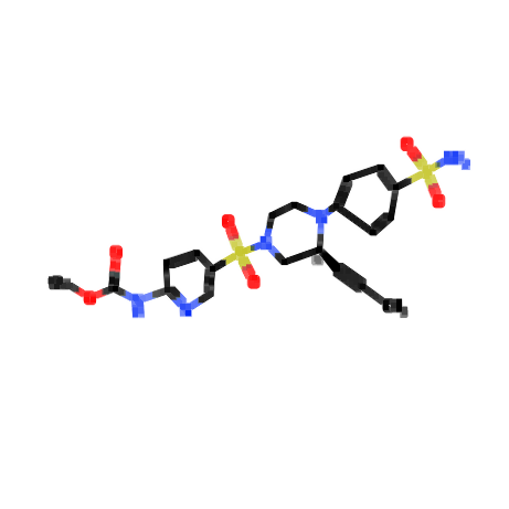 CC#C[C@H]1CN(S(=O)(=O)c2ccc(NC(=O)OC(C)(C)C)nc2)CCN1c1ccc(S(N)(=O)=O)cc1